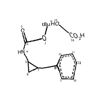 CC(C)(C)OC(=O)NC1CC1c1ccccc1.O=C(O)O